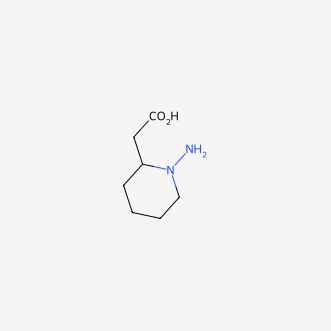 NN1CCCCC1CC(=O)O